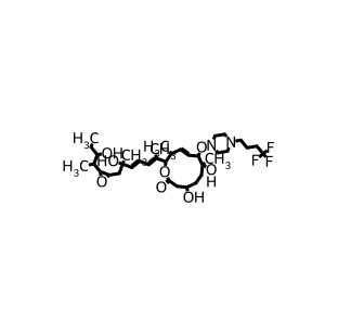 CCC(O)C(C)C1OC1CC(C)(O)/C=C/C=C(\C)C1OC(=O)CC(O)CCC(C)(O)C(ON2CCN(CCCC(F)(F)F)CC2)/C=C/C1C